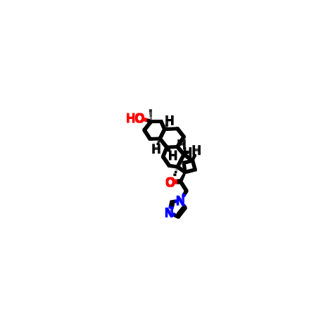 C[C@@]1(O)CC[C@H]2[C@H](CC[C@@H]3[C@@H]2CC[C@@]2(C)[C@H]3[C@H]3C[C@]2(C(=O)Cn2ccnc2)C3)C1